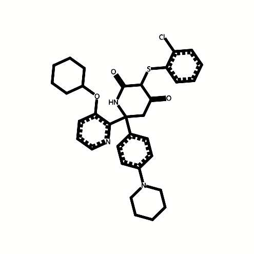 O=C1CC(c2ccc(N3CCCCC3)cc2)(c2ncccc2OC2CCCCC2)NC(=O)C1Sc1ccccc1Cl